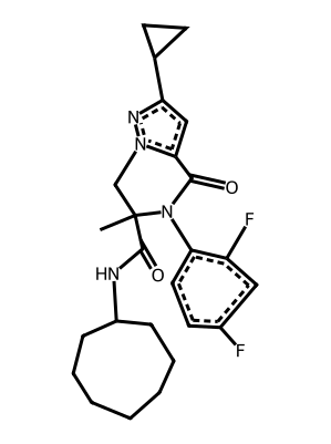 CC1(C(=O)NC2CCCCCCC2)Cn2nc(C3CC3)cc2C(=O)N1c1ccc(F)cc1F